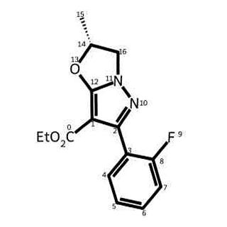 CCOC(=O)c1c(-c2ccccc2F)nn2c1O[C@H](C)C2